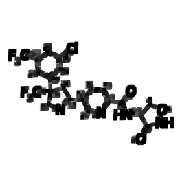 O=C(NC1CONC1=O)c1ccc(C2=NCC(c3cc(Cl)cc(C(F)(F)F)c3)(C(F)(F)F)C2)cn1